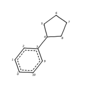 [c]1ccc(C2[CH]CCC2)cc1